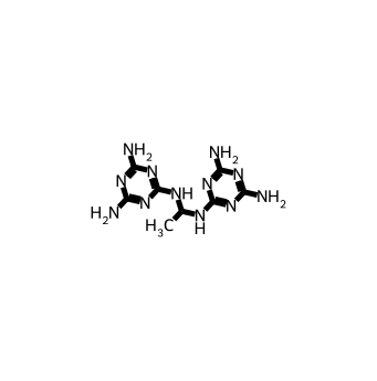 CC(Nc1nc(N)nc(N)n1)Nc1nc(N)nc(N)n1